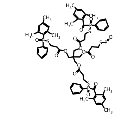 Cc1cc(C)c(C(=O)P(=O)(SCCC(=O)OCC(COC(=O)CCSP=O)(COC(=O)CCSP(=O)(C(=O)c2c(C)cc(C)cc2C)c2ccccc2)COC(=O)CCSP(=O)(c2ccccc2)c2c(C)cc(C)cc2C)c2ccccc2)c(C)c1